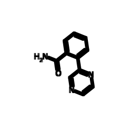 NC(=O)c1ccccc1-c1cnccn1